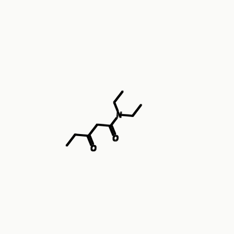 CCC(=O)CC(=O)N(CC)CC